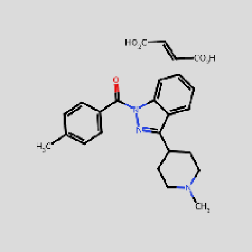 Cc1ccc(C(=O)n2nc(C3CCN(C)CC3)c3ccccc32)cc1.O=C(O)/C=C/C(=O)O